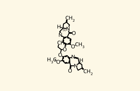 C=C1C[C@H]2C=Nc3cc(OC(CC)Oc4cc5c(cc4OC)C(=O)N4CC(=C)C[C@H]4C=N5)c(OC)cc3C(=O)N2C1